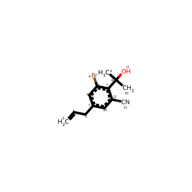 C=CCc1cc(Br)c(C(C)(C)O)c(C#N)c1